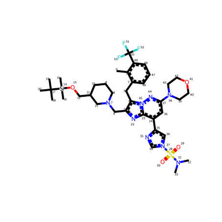 Cc1c(Cc2c(CN3CCCC(CO[Si](C)(C)C(C)(C)C)C3)nc3c(-c4cn(S(=O)(=O)N(C)C)cn4)cc(N4CCOCC4)nn23)cccc1C(F)(F)F